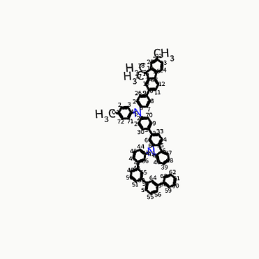 Cc1ccc(N(c2ccc(-c3ccc4c(c3)C(C)(C)c3cc(C)ccc3-4)cc2)c2ccc(-c3ccc4c5ccccc5n(-c5cccc(-c6cccc(-c7cccc(-c8ccccc8)c7)c6)c5)c4c3)cc2)cc1